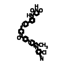 C[C@@H]1CC2(CCN(c3ccc(C(=O)N4CCC(CN5CCC(c6cccc(N[C@H]7CCC(=O)NC7=O)c6)CC5)CC4)cc3)CC2)CN1c1ccc(C#N)c(Cl)c1